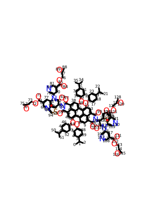 CC(C)c1ccc(Oc2cc3c4c(cc(Oc5ccc(C(C)C)cc5)c5c6c(Oc7ccc(C(C)C)cc7)cc7c8c(cc(Oc9ccc(C(C)C)cc9)c(c2c45)c86)C(=O)N(C(C(=O)N(c2cncc(C(=O)OCC4CO4)c2)c2cncc(C(=O)OCC4CO4)c2)c2cccs2)C7=O)C(=O)N(C(C(=O)N(c2cncc(C(=O)OCC4CO4)c2)c2cncc(C(=O)OCC4CO4)c2)c2cccs2)C3=O)cc1